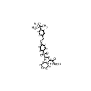 CC(C)(C)c1ccc(COc2ccc(S(=O)(=O)NC[C@@H](C(=O)NO)N3CCOCC3)cc2)cc1